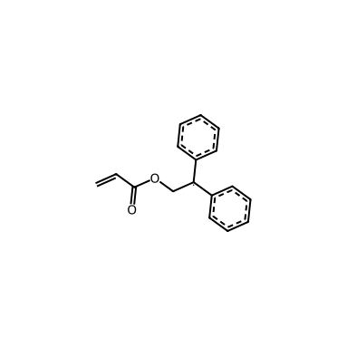 C=CC(=O)OC[C](c1ccccc1)c1ccccc1